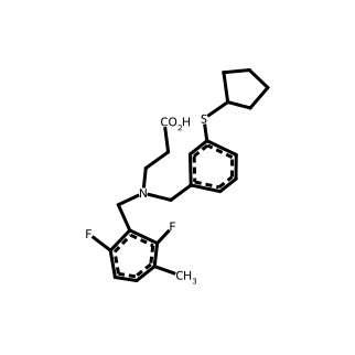 Cc1ccc(F)c(CN(CCC(=O)O)Cc2cccc(SC3CCCC3)c2)c1F